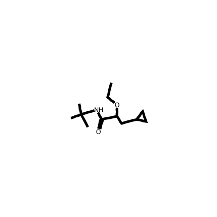 CCOC(CC1CC1)C(=O)NC(C)(C)C